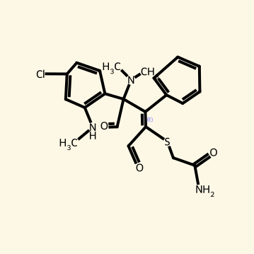 CNc1cc(Cl)ccc1C(C=O)(/C(=C(\C=O)SCC(N)=O)c1ccccc1)N(C)C